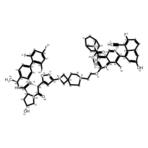 C#Cc1c(F)ccc2cc(O)cc(-c3ncc4c(N5CC6CCC(C5)N6C(=O)OC(C)(C)C)nc(OCCN5CCC6(CC5)CN(c5cc([C@H](C(=O)N7C[C@H](O)C[C@H]7C(=O)N[C@@H](C)c7ccc(-c8c(F)cc(F)cc8F)cc7)C(C)C)on5)C6)nc4c3F)c12